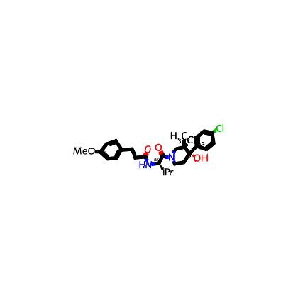 COc1ccc(CCC(=O)N[C@@H](C(=O)N2CC[C@](O)(c3ccc(Cl)cc3)C(C)(C)C2)C(C)C)cc1